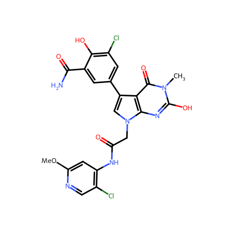 COc1cc(NC(=O)Cn2cc(-c3cc(Cl)c(O)c(C(N)=O)c3)c3c(=O)n(C)c(O)nc32)c(Cl)cn1